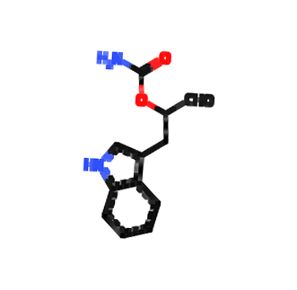 NC(=O)OC(C=O)Cc1c[nH]c2ccccc12